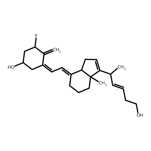 C=C1/C(=C\C=C2/CCCC3(C)C(C(C)/C=C/CCO)=CCC23)CC(O)CC1F